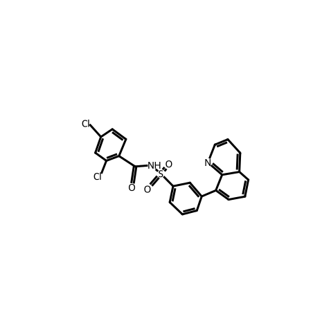 O=C(NS(=O)(=O)c1cccc(-c2cccc3cccnc23)c1)c1ccc(Cl)cc1Cl